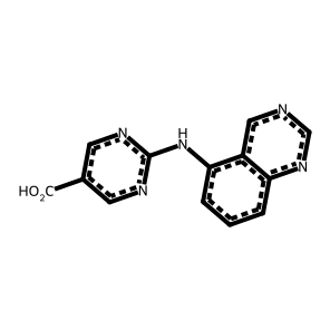 O=C(O)c1cnc(Nc2cccc3ncncc23)nc1